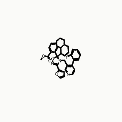 COC(=O)c1ccccc1C1(C2CCCC3CCCCC32)ON=C(c2ccco2)N1Cc1cnccc1-c1ccccc1F